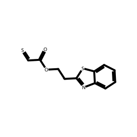 O=C(C=S)OC[CH]c1nc2ccccc2s1